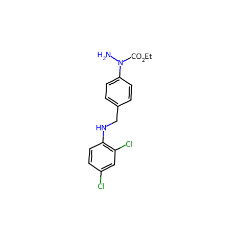 CCOC(=O)N(N)c1ccc(CNc2ccc(Cl)cc2Cl)cc1